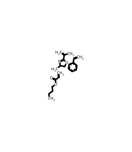 C=C(C)C1=NC(C)CO1.C=CC(=O)OCCCC.C=Cc1ccccc1